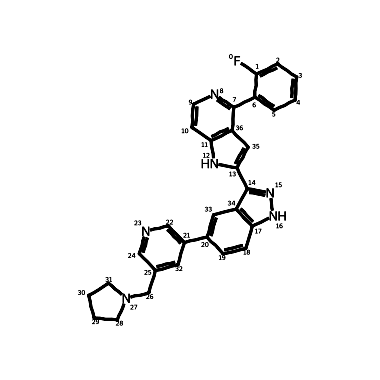 Fc1ccccc1-c1nccc2[nH]c(-c3n[nH]c4ccc(-c5cncc(CN6CCCC6)c5)cc34)cc12